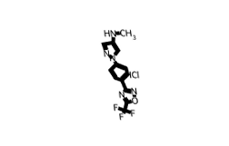 CNc1cnn(-c2ccc(-c3noc(C(F)(F)F)n3)cc2)c1.Cl